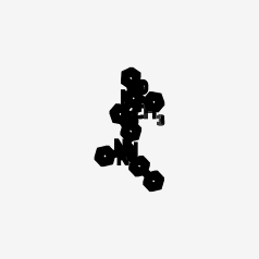 Cc1c(-c2cccc3c2sc2ccc(-c4nc(-c5ccccc5)nc(-c5ccc(-c6ccccc6)cc5)n4)cc23)nc2c(oc3ccccc32)c1-c1ccccc1